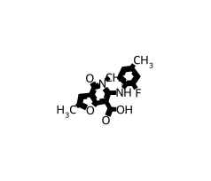 Cc1ccc(Nc2c(C(=O)O)c3oc(C)cc3c(=O)n2C)c(F)c1